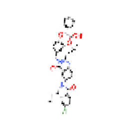 CCCCCN(C(=O)c1ccc(Cl)cc1)c1ccc2nc(CCCC)n(Cc3ccc(OC(C(=O)O)c4ccccc4)cc3)c(=O)c2c1